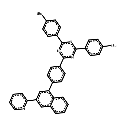 CC(C)(C)c1ccc(-c2nc(-c3ccc(-c4cc(-c5ccccn5)cc5ccccc45)cc3)nc(-c3ccc(C(C)(C)C)cc3)n2)cc1